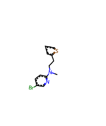 CN(CCc1cccs1)c1ccc(Br)cn1